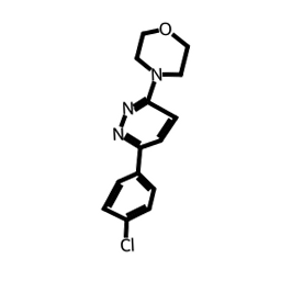 Clc1ccc(-c2ccc(N3CCOCC3)nn2)cc1